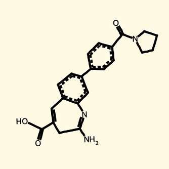 NC1=Nc2cc(-c3ccc(C(=O)N4CCCC4)cc3)ccc2C=C(C(=O)O)C1